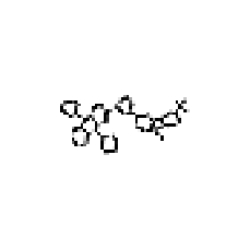 CC(C)(C)c1ccc2sc3ccc(-c4cccc(-c5ccc6c(-c7ccccc7)c7ccccc7c(-c7ccccc7)c6c5)c4)cc3c2c1